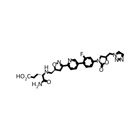 NC(=O)[C@H](CCC(=O)O)NC[C@@H]1CC(c2ccc(-c3ccc(N4CC(Cn5ccnn5)OC4=O)cc3F)cn2)=NO1